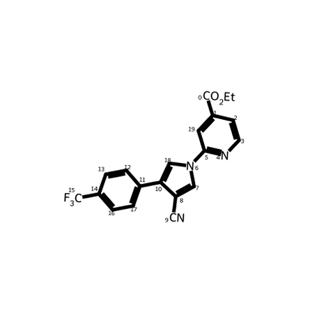 CCOC(=O)c1ccnc(-n2cc(C#N)c(-c3ccc(C(F)(F)F)cc3)c2)c1